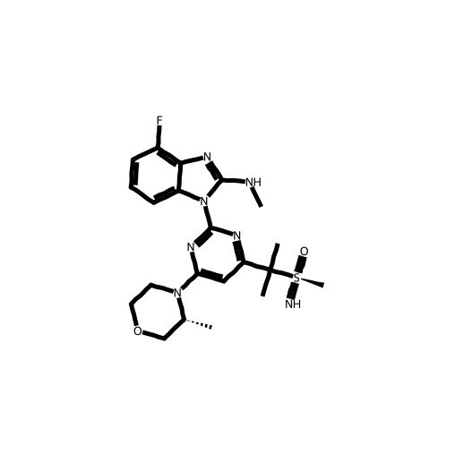 CNc1nc2c(F)cccc2n1-c1nc(N2CCOC[C@H]2C)cc(C(C)(C)[S@@](C)(=N)=O)n1